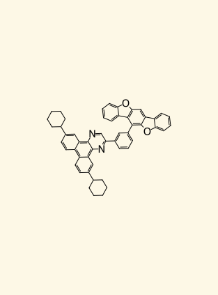 c1cc(-c2cnc3c4cc(C5CCCCC5)ccc4c4ccc(C5CCCCC5)cc4c3n2)cc(-c2c3oc4ccccc4c3cc3oc4ccccc4c23)c1